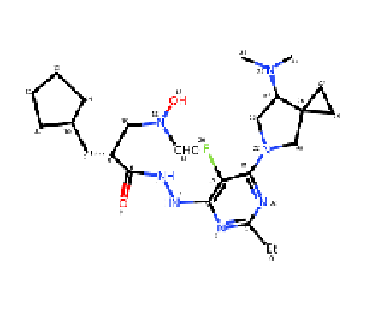 CCc1nc(NNC(=O)[C@H](CC2CCCC2)CN(O)C=O)c(F)c(N2C[C@@H](N(C)C)C3(CC3)C2)n1